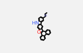 C/C=C/c1ccc2[nH]c3cc4oc5c6ccccc6c6ccccc6c5c4cc3c2c1